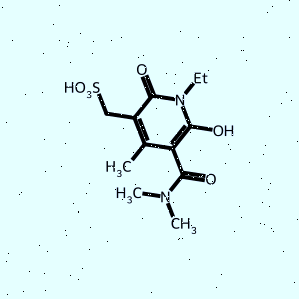 CCn1c(O)c(C(=O)N(C)C)c(C)c(CS(=O)(=O)O)c1=O